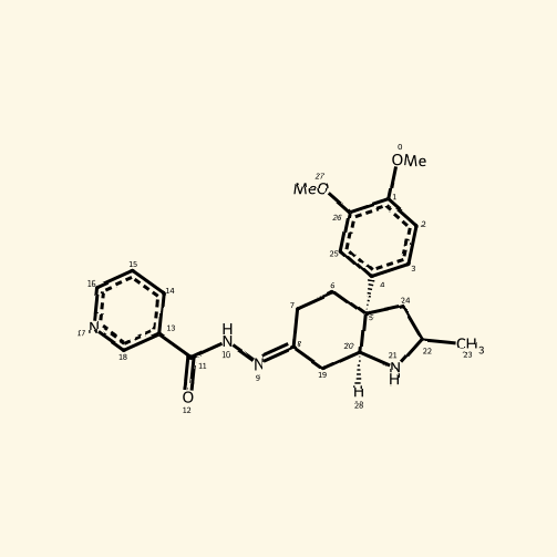 COc1ccc([C@@]23CCC(=NNC(=O)c4cccnc4)C[C@@H]2NC(C)C3)cc1OC